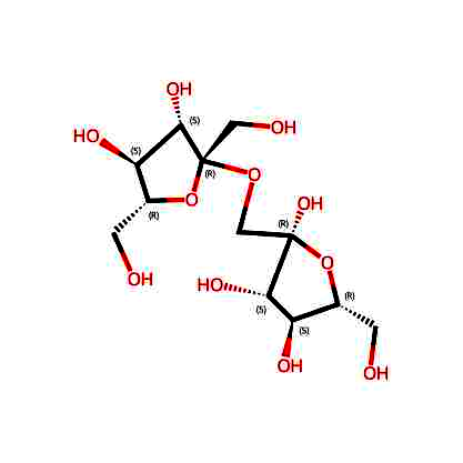 OC[C@H]1O[C@@](CO)(OC[C@@]2(O)O[C@H](CO)[C@@H](O)[C@@H]2O)[C@@H](O)[C@@H]1O